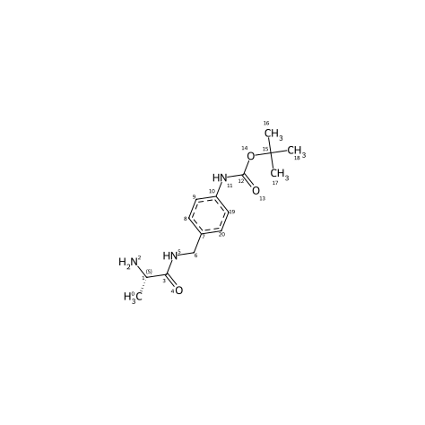 C[C@H](N)C(=O)NCc1ccc(NC(=O)OC(C)(C)C)cc1